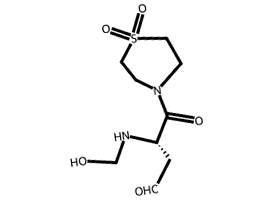 O=CC[C@H](NCO)C(=O)N1CCS(=O)(=O)CC1